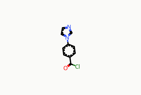 O=C(Cl)c1ccc(-n2ccnc2)cc1